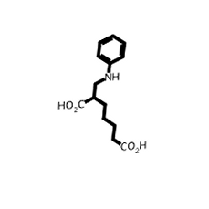 O=C(O)CCCCC(CNc1ccccc1)C(=O)O